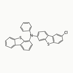 Clc1ccc2sc3cc(N(c4ccccc4)c4cccc5c4sc4ccccc45)ccc3c2c1